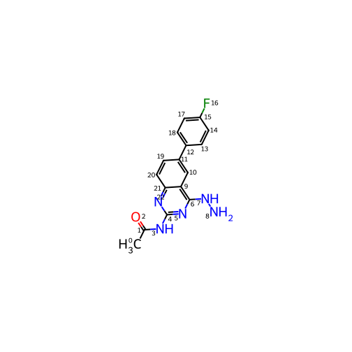 CC(=O)Nc1nc(NN)c2cc(-c3ccc(F)cc3)ccc2n1